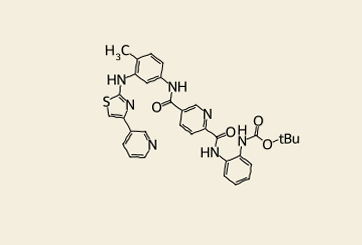 Cc1ccc(NC(=O)c2ccc(C(=O)Nc3ccccc3NC(=O)OC(C)(C)C)nc2)cc1Nc1nc(-c2cccnc2)cs1